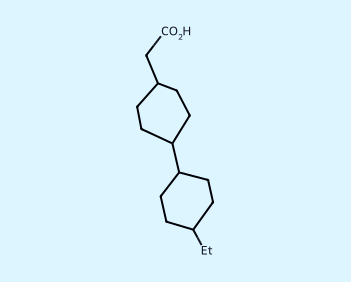 CCC1CCC(C2CCC(CC(=O)O)CC2)CC1